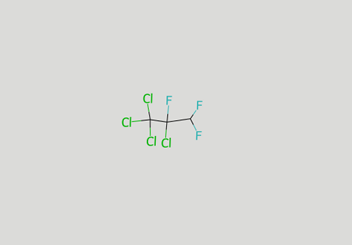 FC(F)C(F)(Cl)C(Cl)(Cl)Cl